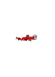 N#Cc1ccc(-c2ccc(CC(NC(=O)C3Cc4cc5c(cc4CN3Cc3ccccn3)OC(c3ccc(OCc4ccc(Cl)c(Cl)c4)cc3)C(=O)N5)C(=O)O)cc2)cc1